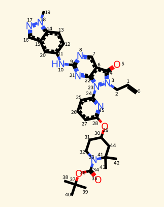 C=CCn1c(=O)c2cnc(Nc3ccc4c(cnn4C)c3)nc2n1-c1cccc(OC2CCN(C(=O)OC(C)(C)C)C(C)(C)C2)n1